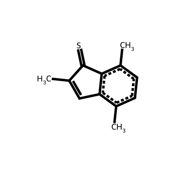 CC1=Cc2c(C)ccc(C)c2C1=S